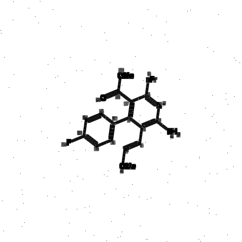 CCCc1nc(N)c(C=COC)c(-c2ccc(F)cc2)c1C(=O)OC